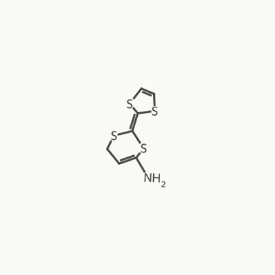 NC1=CCSC(=C2SC=CS2)S1